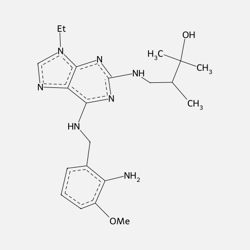 CCn1cnc2c(NCc3cccc(OC)c3N)nc(NCC(C)C(C)(C)O)nc21